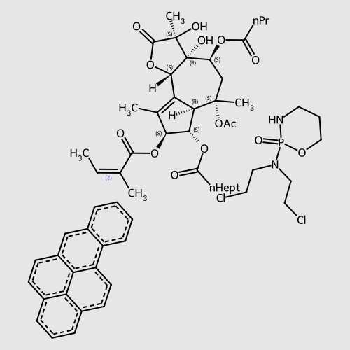 C/C=C(/C)C(=O)O[C@H]1C(C)=C2[C@H]([C@@H]1OC(=O)CCCCCCC)[C@@](C)(OC(C)=O)C[C@H](OC(=O)CCC)[C@@]1(O)[C@H]2OC(=O)[C@@]1(C)O.O=P1(N(CCCl)CCCl)NCCCO1.c1ccc2c(c1)cc1ccc3cccc4ccc2c1c34